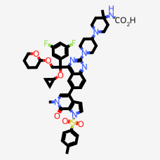 Cc1ccc(S(=O)(=O)n2ccc3c(-c4ccc5nc(N6CCC(N7CCC(C)(NC(=O)O)CC7)CC6)nc(C(COC6CCCCO6)(OC6CC6)c6cc(F)cc(F)c6)c5c4)cn(C)c(=O)c32)cc1